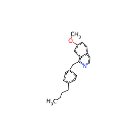 CCCCc1ccc(Cc2nccc3ccc(OC)cc23)cc1